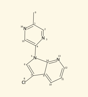 Cc1cnc(-n2cc(Cl)c3c[c]cnc32)cn1